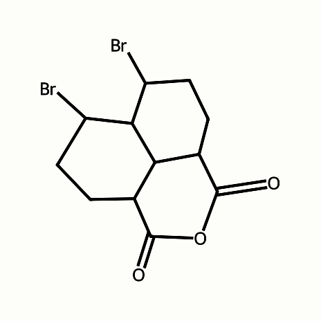 O=C1OC(=O)C2CCC(Br)C3C(Br)CCC1C23